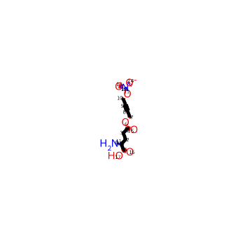 N[C@@H](CCC(=O)OCC#CCO[N+](=O)[O-])C(=O)O